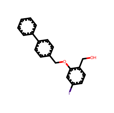 OCc1ccc(I)cc1OCc1ccc(-c2ccccc2)cc1